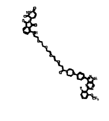 COc1cccc(F)c1-c1ncc2[nH]nc(-c3ccc(N4CCN(C(=O)CCOCCOCCOCCOCCNc5cccc6c5C(=O)N(C5CCC(=O)NC5=O)C6=O)CC4)cc3)c2n1